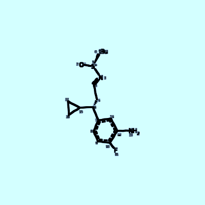 CC(C)(C)[S@+]([O-])N=CC[C@H](c1ccc(F)c(N)c1)C1CC1